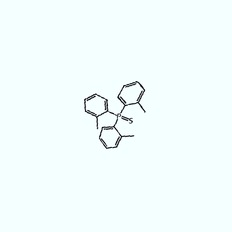 Cc1ccccc1P(=S)(c1ccccc1C)c1ccccc1C